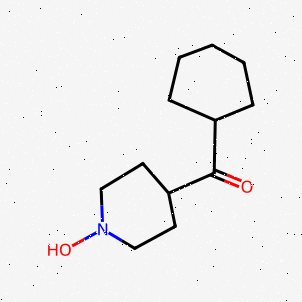 O=C(C1CCCCC1)C1CCN(O)CC1